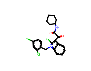 O=C(NC1CCCCC1)C(=O)c1c(Cl)n(Cc2ccc(Cl)cc2Cl)c2ccccc12